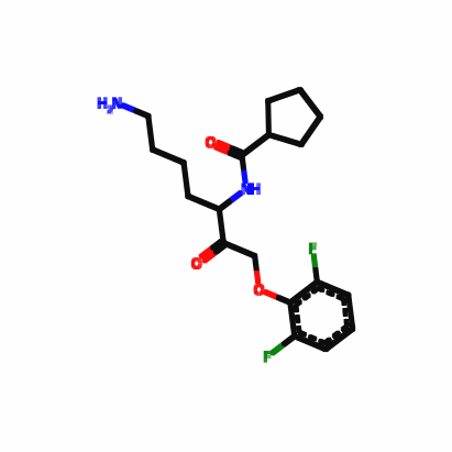 NCCCCC(NC(=O)C1CCCC1)C(=O)COc1c(F)cccc1F